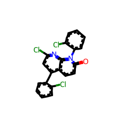 O=c1ccc2c(-c3ccccc3Cl)cc(Cl)nc2n1-c1ccccc1Cl